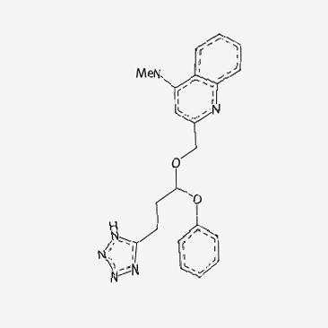 CNc1cc(COC(CCc2nnn[nH]2)Oc2ccccc2)nc2ccccc12